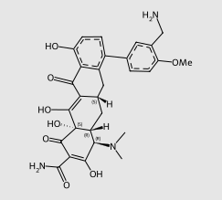 COc1ccc(-c2ccc(O)c3c2C[C@@H]2C[C@@H]4[C@@H](N(C)C)C(O)=C(C(N)=O)C(=O)[C@@]4(O)C(O)=C2C3=O)cc1CN